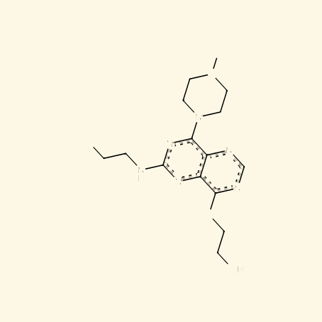 [O-][S+]1CCN(c2nc(NCCO)nc3c(SCCO)ncnc23)CC1